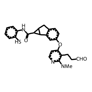 CNc1nccc(Oc2ccc3c(c2)C2C(C3)C2C(=O)Nc2ccccc2S)c1CCC=O